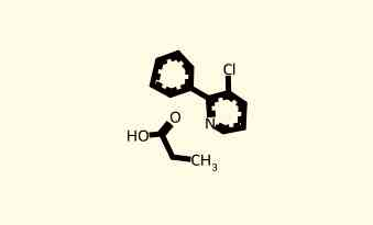 CCC(=O)O.Clc1cccnc1-c1ccccc1